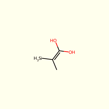 CC([SiH3])=C(O)O